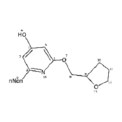 CCCCCCCCCc1cc(O)cc(OCC2CCCO2)n1